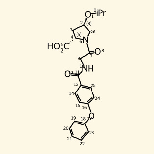 CC(C)O[C@@H]1C[C@@H](C(=O)O)N(C(=O)CNC(=O)c2ccc(Oc3ccccc3)cc2)C1